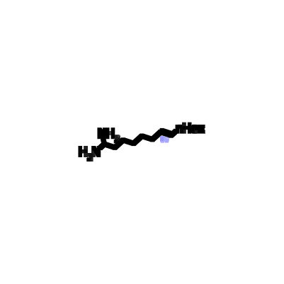 CCCCCC/C=C/CCCCCC(N)N